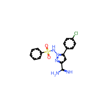 N=C(N)c1cc(-c2ccc(Cl)cc2)n(NS(=O)(=O)c2ccccc2)n1